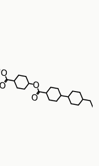 CCC1CCC(C2CCC(C(=O)OC3CCC(C(=O)O)CC3)CC2)CC1